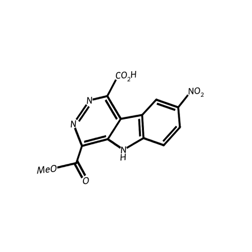 COC(=O)c1nnc(C(=O)O)c2c1[nH]c1ccc([N+](=O)[O-])cc12